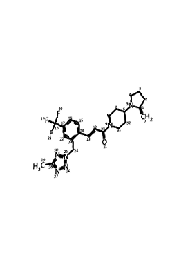 C=C1CCCN1C1CCN(C(=O)/C=C/c2ccc(C(F)(F)F)cc2Cn2nnc(C)n2)CC1